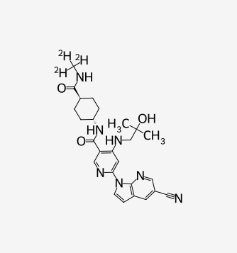 [2H]C([2H])([2H])NC(=O)[C@H]1CC[C@H](NC(=O)c2cnc(-n3ccc4cc(C#N)cnc43)cc2NCC(C)(C)O)CC1